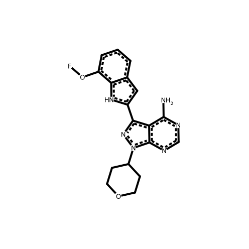 Nc1ncnc2c1c(-c1cc3cccc(OF)c3[nH]1)nn2C1CCOCC1